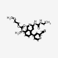 CCNC(=O)Nc1cc2c(-c3ccnc(C#N)c3)ccc(N(C)C(=O)OCCOC)c2cn1